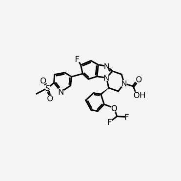 CS(=O)(=O)c1ccc(-c2cc3c(cc2F)nc2n3[C@H](c3ccccc3OC(F)F)CN(C(=O)O)C2)cn1